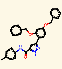 Cc1ccc(NC(=O)c2cc(-c3ccc(OCc4ccccc4)cc3OCc3ccccc3)n[nH]2)cc1